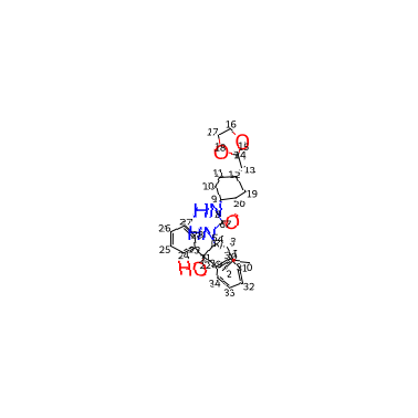 CC(C)C[C@@H](NC(=O)N[C@H]1CC[C@H](CC2OCCO2)CC1)C(O)(c1ccccc1)c1ccccc1